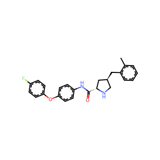 Cc1ccccc1C[C@H]1CN[C@H](C(=O)Nc2ccc(Oc3ccc(F)cc3)cc2)C1